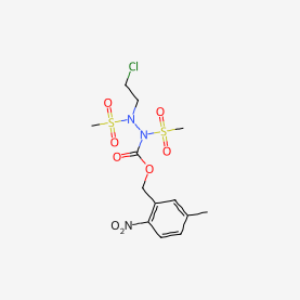 Cc1ccc([N+](=O)[O-])c(COC(=O)N(N(CCCl)S(C)(=O)=O)S(C)(=O)=O)c1